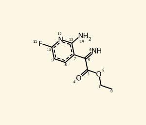 CCOC(=O)C(=N)c1ccc(F)nc1N